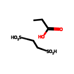 CCC(=O)O.O=S(=O)(O)CCS(=O)(=O)O